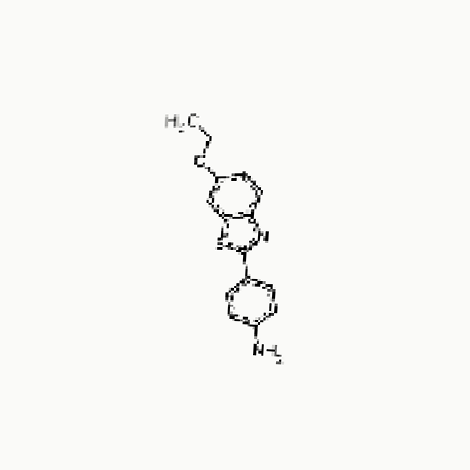 CCOc1ccc2nc(-c3ccc(N)cc3)sc2c1